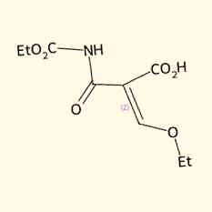 CCO/C=C(\C(=O)O)C(=O)NC(=O)OCC